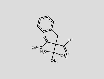 CC(C)(C)C(Cc1ccccc1)(C(=O)[O-])C(=O)[O-].[Ca+2]